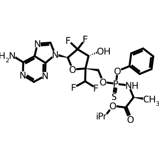 CC(C)OC(=O)[C@H](C)NP(=S)(OC[C@@]1(C(F)F)O[C@@H](n2cnc3c(N)ncnc32)C(F)(F)[C@@H]1O)Oc1ccccc1